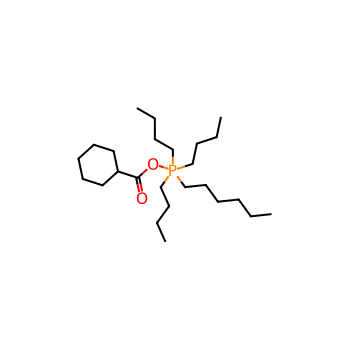 CCCCCCP(CCCC)(CCCC)(CCCC)OC(=O)C1CCCCC1